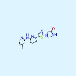 Cc1ccnc(Nc2cccc(-c3cnc(N4CCNC(=O)C4)s3)n2)c1